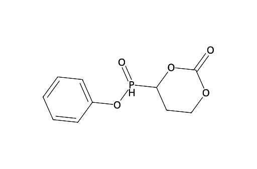 O=C1OCCC([PH](=O)Oc2ccccc2)O1